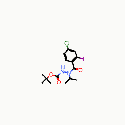 CC(C)N(NC(=O)OC(C)(C)C)C(=O)c1ccc(Cl)cc1I